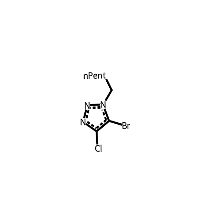 CCCCCCn1nnc(Cl)c1Br